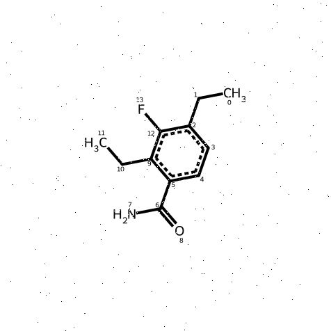 CCc1ccc(C(N)=O)c(CC)c1F